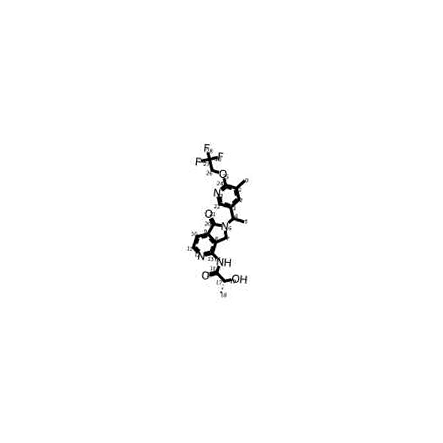 Cc1cc(C(C)N2Cc3c(ccnc3NC(=O)[C@@H](C)O)C2=O)cnc1OCC(F)(F)F